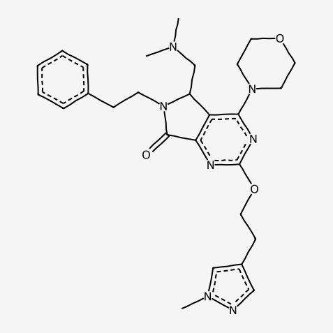 CN(C)CC1c2c(nc(OCCc3cnn(C)c3)nc2N2CCOCC2)C(=O)N1CCc1ccccc1